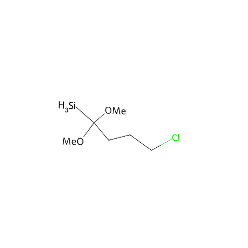 COC([SiH3])(CCCCl)OC